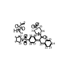 C=CS(=O)(=O)NC[C@H]1CCCN1S(=O)(=O)c1ccc(C(Cc2ccccc2)C(=O)N2CCS(=O)(=O)CC2)cc1